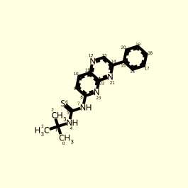 CC(C)(C)NC(=S)Nc1ccc2ncc(-c3ccccc3)nc2n1